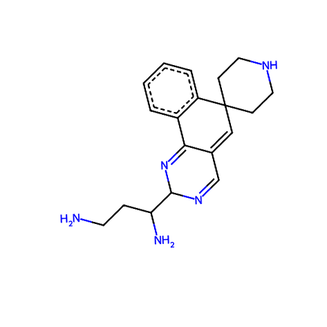 NCCC(N)C1N=CC2=CC3(CCNCC3)c3ccccc3C2=N1